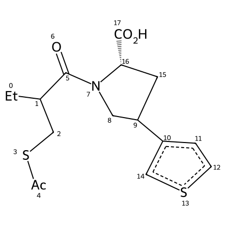 CCC(CSC(C)=O)C(=O)N1CC(c2ccsc2)C[C@H]1C(=O)O